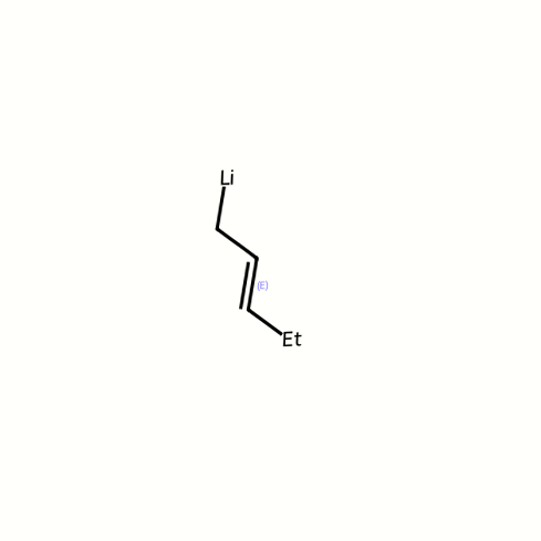 [Li][CH2]/C=C/CC